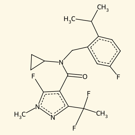 CC(C)c1ccc(F)cc1CN(C(=O)c1c(C(C)(F)F)nn(C)c1F)C1CC1